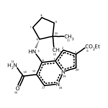 CCOC(=O)c1cc2c(N[C@@H]3CCCC3(C)C)c(C(N)=O)cnn2c1